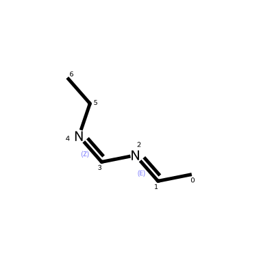 C/C=N/C=N\CC